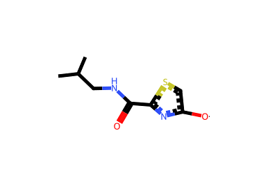 CC(C)CNC(=O)c1nc([O])cs1